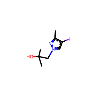 Cc1nn(CC(C)(C)O)cc1I